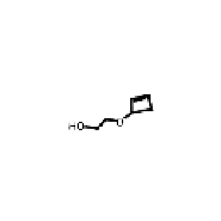 OCCOC1C=CC1